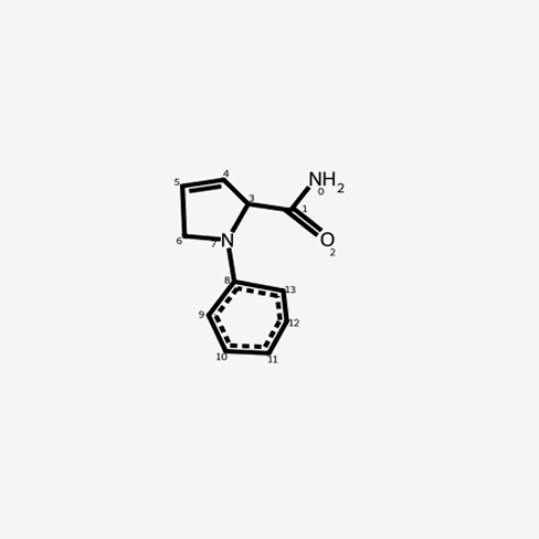 NC(=O)C1C=CCN1c1ccccc1